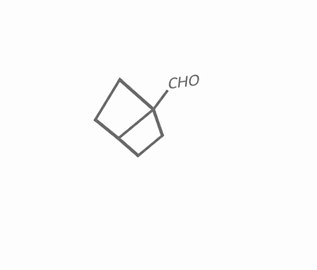 O=CC12CCC1CC2